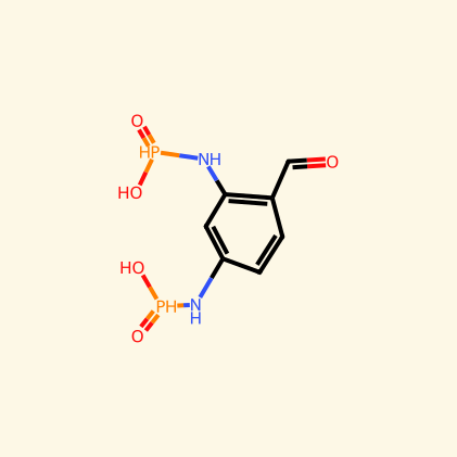 O=Cc1ccc(N[PH](=O)O)cc1N[PH](=O)O